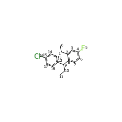 CCc1cc(F)ccc1C(CC)c1ccc(Cl)cc1